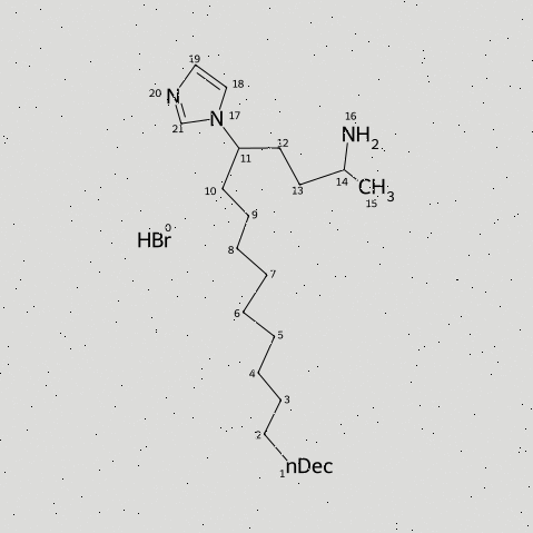 Br.CCCCCCCCCCCCCCCCCCCC(CCC(C)N)n1ccnc1